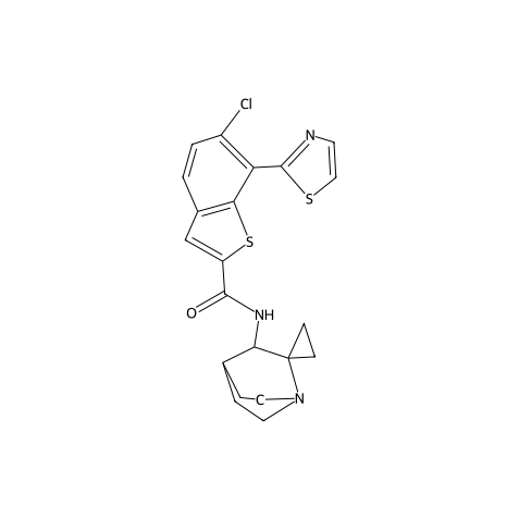 O=C(NC1C2CCN(CC2)C12CC2)c1cc2ccc(Cl)c(-c3nccs3)c2s1